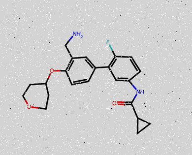 NCc1cc(-c2cc(NC(=O)C3CC3)ccc2F)ccc1OC1CCOCC1